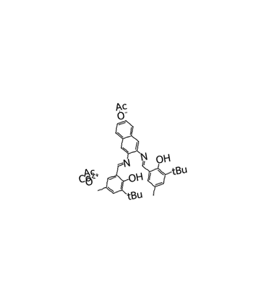 CC(=O)[O-].CC(=O)[O-].Cc1cc(C=Nc2cc3ccccc3cc2N=Cc2cc(C)cc(C(C)(C)C)c2O)c(O)c(C(C)(C)C)c1.[Co+2]